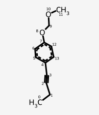 CCC#Cc1ccc(OCOC)cc1